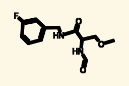 COCC(NC=O)C(=O)NCc1cccc(F)c1